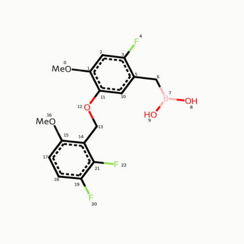 COc1cc(F)c(CB(O)O)cc1OCc1c(OC)ccc(F)c1F